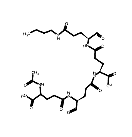 CCCCNC(=O)CC[C@@H](C=O)NC(=O)CC[C@H](NC(=O)CC[C@@H](C=O)NC(=O)CCC(NC(C)=O)C(=O)O)C(=O)O